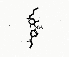 CCCCC1(C)C=C(C)C(Nc2ccc([C@H](C)CC)cc2)=C(C)C1